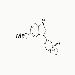 COc1ccc2[nH]cc(C3=CCN4CCC[C@H]4C3)c2c1